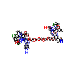 Cc1ncsc1-c1ccc(CNC[C@@H]2C[C@@H](O)CN2C(=O)[C@@H](NC(=O)C2(F)CC2)C(C)(C)C)c(OCCOCCOCCOCCOCCOc2nc(Nc3cc(S(C)(=O)=O)ccc3N[C@@H](c3cccc4c3OC(F)(F)O4)c3ncccc3Cl)nc(N3CCNCC3)n2)c1